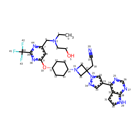 CCN(CCO)Cc1cc(O[C@H]2CC[C@@H](N3CC(CC#N)(n4cc(-c5ncnc6[nH]ccc56)cn4)C3)CC2)nc(C(F)(F)F)n1